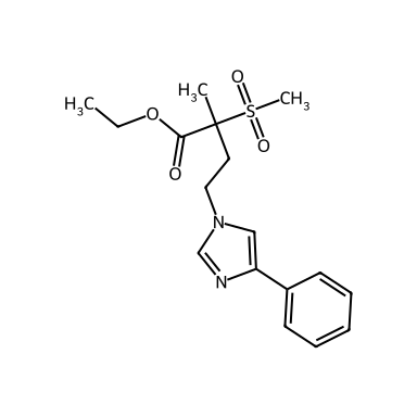 CCOC(=O)C(C)(CCn1cnc(-c2ccccc2)c1)S(C)(=O)=O